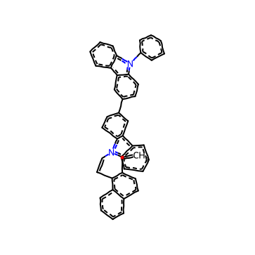 C=Cc1ccc2ccccc2c1/C=C\n1c2ccccc2c2cc(-c3ccc4c(c3)c3ccccc3n4-c3ccccc3)ccc21